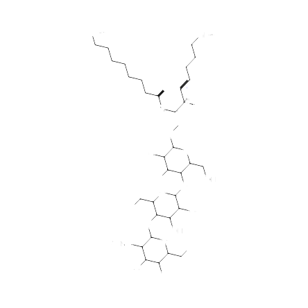 CCCCCCCCCCCCC/C=C/[C@@H](O)[C@H](COC1OC(CO)C(OC2OC(CO)C(OC3OC(CO)C(O)C(O)C3NC(C)=O)C(O)C2O)C(O)C1O)NC(=O)CCCCCCCCCCCCCCCCC